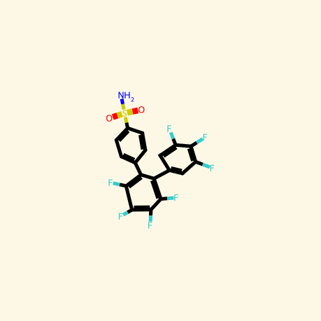 NS(=O)(=O)c1ccc(-c2c(F)c(F)c(F)c(F)c2-c2cc(F)c(F)c(F)c2)cc1